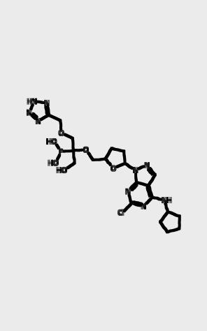 OCC(COCc1nn[nH]n1)(OCC1CCC(n2ncc3c(NC4CCCC4)nc(Cl)nc32)O1)P(O)O